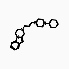 c1ccc2c(c1)cc1n2CCN(CCCN2CCN(C3CCCCC3)CC2)C1